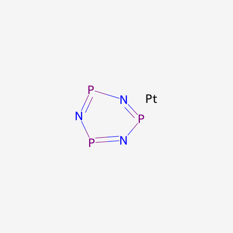 [Pt].n1pnpnp1